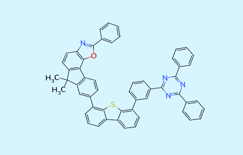 CC1(C)c2cc(-c3cccc4c3sc3c(-c5cccc(-c6nc(-c7ccccc7)nc(-c7ccccc7)n6)c5)cccc34)ccc2-c2c1ccc1nc(-c3ccccc3)oc21